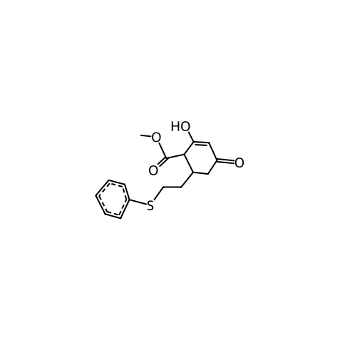 COC(=O)C1C(O)=CC(=O)CC1CCSc1ccccc1